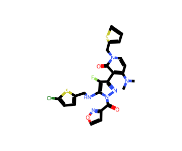 CN(C)c1ccn(Cc2cccs2)c(=O)c1-c1nn(C(=O)c2ccon2)c(NCc2ccc(Cl)s2)c1F